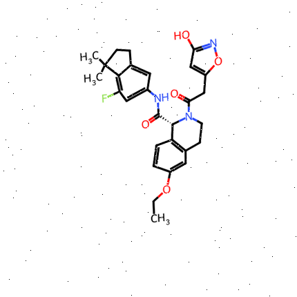 CCOc1ccc2c(c1)CCN(C(=O)Cc1cc(O)no1)[C@H]2C(=O)Nc1cc(F)c2c(c1)CCC2(C)C